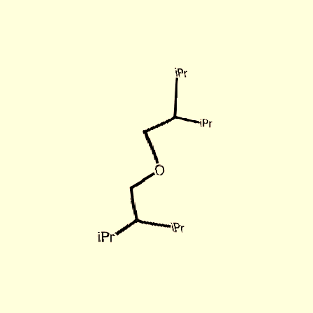 CC(C)C(COCC(C(C)C)C(C)C)C(C)C